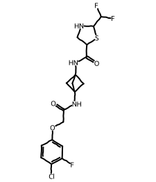 O=C(COc1ccc(Cl)c(F)c1)NC12CC(NC(=O)C3CNC(C(F)F)S3)(C1)C2